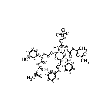 CC(=O)O[C@H](C)CC(=O)O[C@H]1[C@H](Cc2ccccc2)C(COCc2ccccc2)OC(OCCN(C(=O)C[C@@H](C)OC(C)=O)c2cccc(O)c2)[C@H]1NC(=O)OCC(Cl)(Cl)Cl